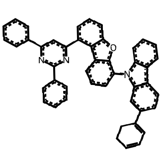 C1=CCCC(c2ccc3c4ccccc4n(-c4cccc5c4oc4cccc(-c6cc(-c7ccccc7)nc(-c7ccccc7)n6)c45)c3c2)=C1